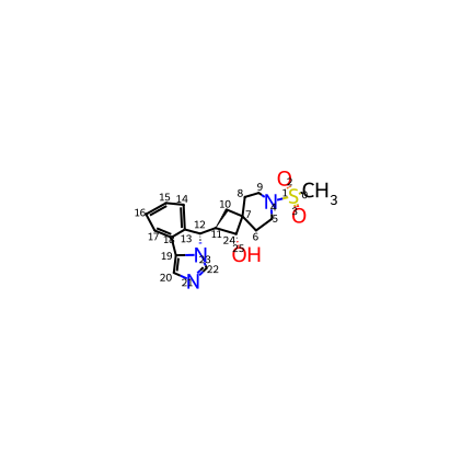 CS(=O)(=O)N1CCC2(CC1)C[C@H]([C@H]1c3ccccc3-c3cncn31)[C@H]2O